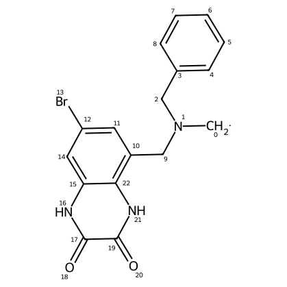 [CH2]N(Cc1ccccc1)Cc1cc(Br)cc2[nH]c(=O)c(=O)[nH]c12